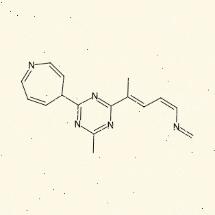 C=N/C=C\C=C(/C)c1nc(C)nc(C2C=CC=NC=C2)n1